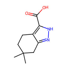 CC1(C)CCc2c(n[nH]c2C(=O)O)C1